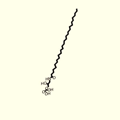 CCCCCCCCCCCCCCCCCCCCCCCCCCCCCC(=O)NCC(O)COP(=O)(O)O